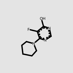 Oc1ncnc(N2CCCCC2)c1F